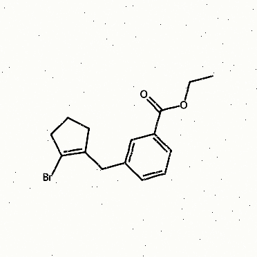 CCOC(=O)c1cccc(CC2=C(Br)CCC2)c1